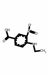 CCNc1ccc(C(=O)O)cc1[N+](=O)[O-]